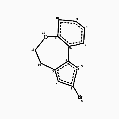 Brc1cc2c(s1)-c1ccccc1OCC2